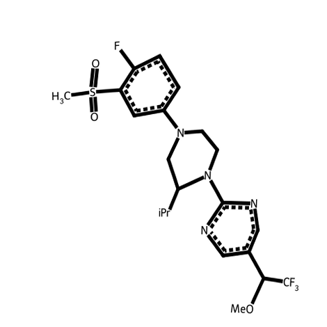 COC(c1cnc(N2CCN(c3ccc(F)c(S(C)(=O)=O)c3)CC2C(C)C)nc1)C(F)(F)F